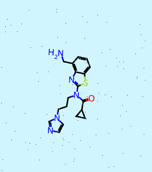 NCc1cccc2sc(N(CCCn3ccnc3)C(=O)C3CC3)nc12